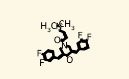 CN(C)C/C=C\C(=O)N1C/C(=C\c2ccc(F)c(F)c2)C(=O)/C(=C/c2ccc(F)c(F)c2)C1